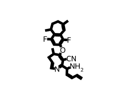 C=C/C=C\C(N)C1=N/C=C/CC(C)/C(Oc2cc(F)c3c(c2F)C=C(C)CCC3C)=C\1C#N